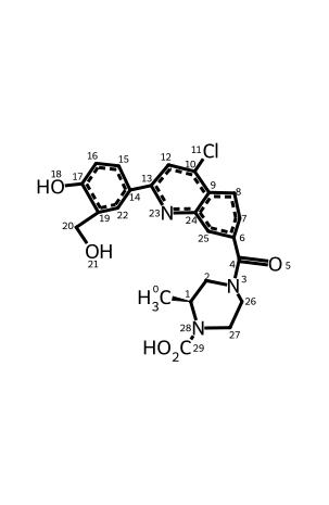 C[C@H]1CN(C(=O)c2ccc3c(Cl)cc(-c4ccc(O)c(CO)c4)nc3c2)CCN1C(=O)O